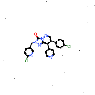 O=c1n(Cc2ccc(Cl)nc2)nc2c(-c3ccncc3)c(-c3ccc(Cl)cc3)cnn12